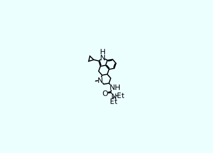 CCN(CC)C(=O)NC1CC2c3cccc4[nH]c(C5CC5)c(c34)CC2N(C)C1